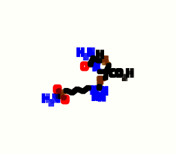 NC1C(=O)N2CC(CSc3nnnn3CCCCCS(N)(=O)=O)(C(=O)O)CS[C@H]12